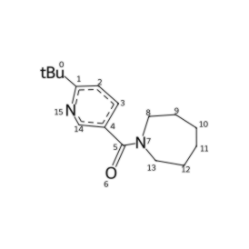 CC(C)(C)c1ccc(C(=O)N2CCCCCC2)cn1